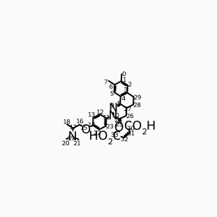 Cc1cc2c(cc1C)C1=NN(c3ccc(OCC(C)N(C)C)cc3)C(=O)CC1CC2.O=C(O)/C=C\C(=O)O